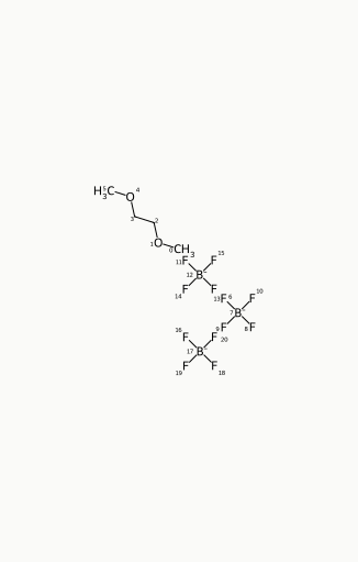 COCCOC.F[B-](F)(F)F.F[B-](F)(F)F.F[B-](F)(F)F